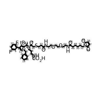 CC(C)(C)C(c1cc(-c2cc(F)ccc2F)cn1Cc1ccccc1)N(CCCNC(=O)O)C(=O)CSCCC(=O)NCCOCCOCCNC(=O)CCCCCN1C(=O)C=CC1=O